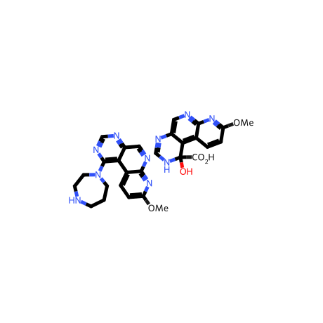 COc1ccc2c(ncc3ncnc(N4CCCNCC4)c32)n1.COc1ccc2c3c(cnc2n1)N=CNC3(O)C(=O)O